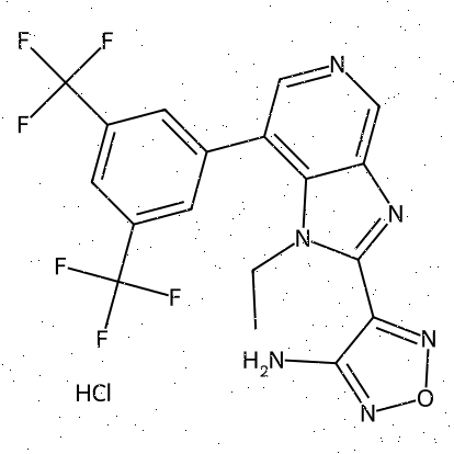 CCn1c(-c2nonc2N)nc2cncc(-c3cc(C(F)(F)F)cc(C(F)(F)F)c3)c21.Cl